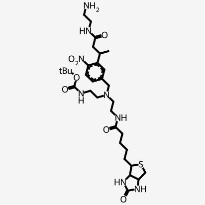 CC(CC(=O)NCCN)c1cc(CN(CCNC(=O)CCCCC2SCC3NC(=O)NC32)CCNC(=O)OC(C)(C)C)ccc1[N+](=O)[O-]